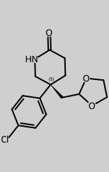 O=C1CC[C@](CC2OCCO2)(c2ccc(Cl)cc2)CN1